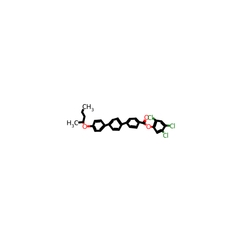 CCCC(C)Oc1ccc(-c2ccc(-c3ccc(C(=O)Oc4cc(Cl)c(Cl)cc4Cl)cc3)cc2)cc1